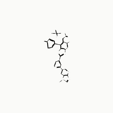 CC(=O)[C@@H](OC(C)(C)C)c1c(C)cc2nc(-c3ccnc(-c4cnc5ncn(C)c5c4)c3)sc2c1-c1ccc(Cl)cc1